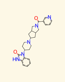 O=C(c1cccnc1)N1CC2CC(N3CCC(n4c(=O)[nH]c5ccccc54)CC3)CC2C1